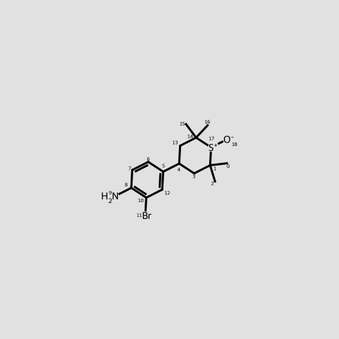 CC1(C)CC(c2ccc(N)c(Br)c2)CC(C)(C)[S+]1[O-]